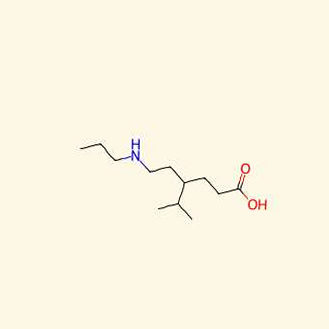 CCCNCCC(CCC(=O)O)C(C)C